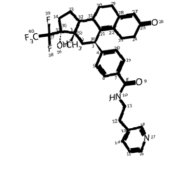 C[C@]12C[C@H](c3ccc(C(=O)NCCc4cccnc4)cc3)C3=C4CCC(=O)C=C4CCC3C1CC[C@]2(O)C(F)(F)C(F)(F)F